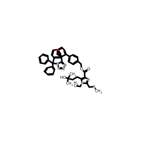 CCn1c(CSC)nc(C(=O)OCc2ccc(-c3ccccc3-c3nnnn3C(c3ccccc3)(c3ccccc3)c3ccccc3)cc2)c1CCC(C)(C)O